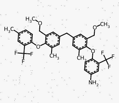 COCc1cc(Cc2cc(C)c(Oc3ccc(N)cc3C(F)(F)F)c(COC)c2)cc(C)c1Oc1ccc(C)cc1C(F)(F)F